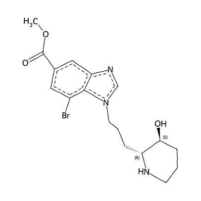 COC(=O)c1cc(Br)c2c(c1)ncn2CCC[C@H]1NCCC[C@@H]1O